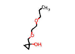 CCCOCCOCC1(O)CC1